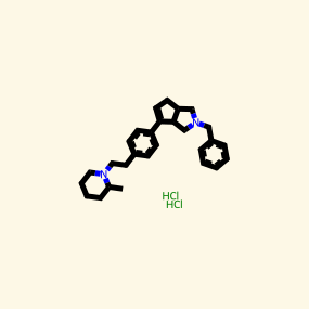 CC1CCCCN1CCc1ccc(C2=CCC3CN(Cc4ccccc4)CC23)cc1.Cl.Cl